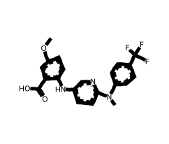 COc1ccc(Nc2ccc(N(C)c3ccc(C(F)(F)F)cc3)nc2)c(C(=O)O)c1